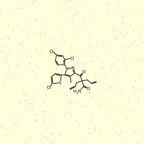 C=CCC(CC=C)(C(N)=O)C(=O)c1nn(-c2ccc(Cl)cc2Cl)c(-c2ccc(Cl)s2)c1C